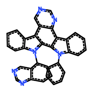 c1ccc(-n2c3ccccc3c3c4ncncc4c4c5ccccc5n(-c5cccc6ncncc56)c4c32)cc1